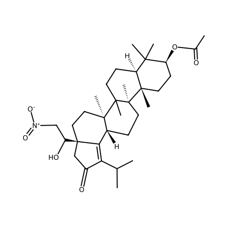 CC(=O)O[C@H]1CC[C@@]2(C)[C@@H](CCC3(C)[C@]2(C)CC[C@@H]2C4=C(C(C)C)C(=O)C[C@]4(C(O)C[N+](=O)[O-])CC[C@]23C)C1(C)C